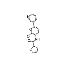 O=C(Nc1ccc(-c2cccnc2)oc1=O)C1CC=CO1